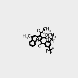 COC(=O)c1c(C(=O)OC)c2cc(C)c3ccccc3n2c1C(=O)c1cc(C(F)(F)F)cc(C(F)(F)F)c1